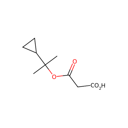 CC(C)(OC(=O)CC(=O)O)C1CC1